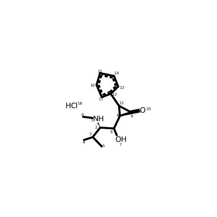 CN[C@@H](C(C)C)C(O)C1C(=O)C1c1ccccc1.Cl